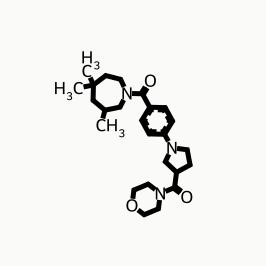 CC1CN(C(=O)c2ccc(N3CCC(C(=O)N4CCOCC4)C3)cc2)CCC(C)(C)C1